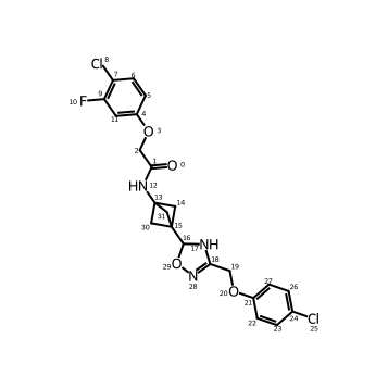 O=C(COc1ccc(Cl)c(F)c1)NC12CC(C3NC(COc4ccc(Cl)cc4)=NO3)(C1)C2